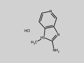 C[SH]1C(N)=Nc2cnccc21.Cl